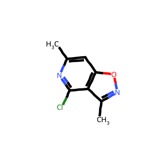 Cc1cc2onc(C)c2c(Cl)n1